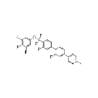 Cc1ccc(-c2ccc(-c3ccc(C(F)(F)Oc4cc(F)c(F)c(F)c4)c(F)c3)c(F)c2)cc1